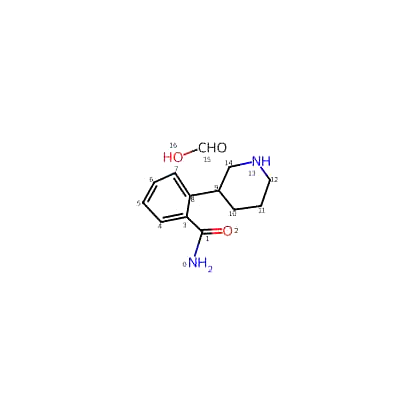 NC(=O)c1ccccc1C1CCCNC1.O=CO